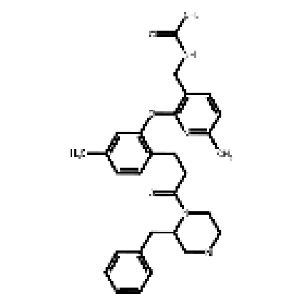 CC(=O)NCc1ccc(C)nc1Oc1cc(C)ccc1CCC(=O)N1CCNCC1Cc1ccccc1